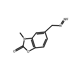 Cn1c(=O)oc2ccc(CN=N)cc21